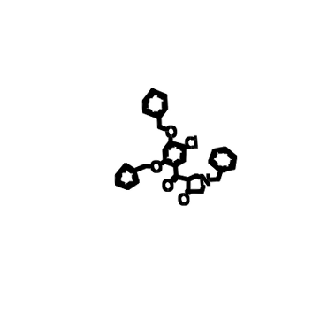 O=C1CN(Cc2ccccc2)CC1C(=O)c1cc(Cl)c(OCc2ccccc2)cc1OCc1ccccc1